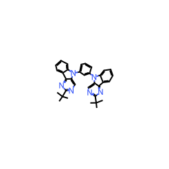 CC(C)(C)c1ncc2c(n1)c1ccccc1n2-c1cccc(-n2c3ccccc3c3nc(C(C)(C)C)ncc32)c1